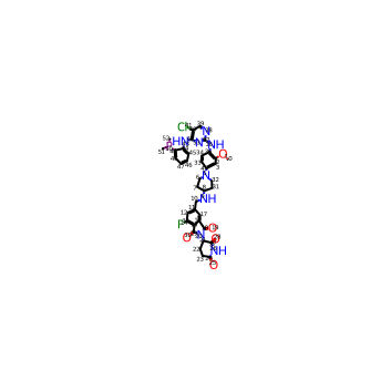 COc1cc(N2CCC(NCc3cc(F)c4c(c3)C(=O)N(C3CCC(=O)NC3=O)C4=O)CC2)ccc1Nc1ncc(Cl)c(Nc2ccccc2P(C)C)n1